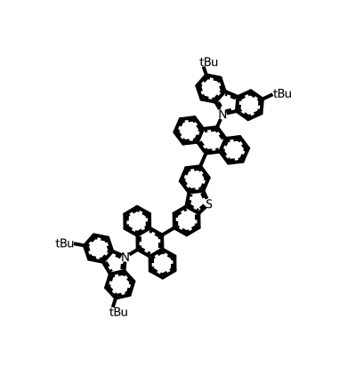 CC(C)(C)c1ccc2c(c1)c1cc(C(C)(C)C)ccc1n2-c1c2ccccc2c(-c2ccc3c(c2)sc2ccc(-c4c5ccccc5c(-n5c6ccc(C(C)(C)C)cc6c6cc(C(C)(C)C)ccc65)c5ccccc45)cc23)c2ccccc12